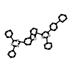 c1ccc(-c2ccc(-c3cc(-c4cccc5c4oc4ccc(-c6nc(-c7ccccc7)nc(-c7ccccc7)n6)cc45)nc(-c4ccccc4)n3)cc2)cc1